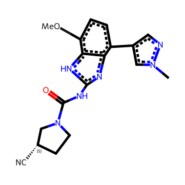 COc1ccc(-c2cnn(C)c2)c2nc(NC(=O)N3CC[C@H](C#N)C3)[nH]c12